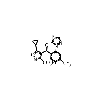 CCOC(=O)c1noc(C2CC2)c1C(=O)c1ccc(C(F)(F)F)cc1-n1cncn1